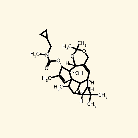 CC1=C[C@]23C(O)[C@@H](C=C4COC(C)(C)O[C@H]4[C@]2(O)[C@H]1OC(=O)N(C)CC1CC1)[C@H]1[C@@H](C[C@H]3C)C1(C)C